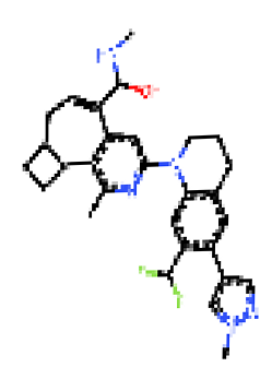 CNC(O)C1=CCC2CCC2c2c1cc(N1CCCc3cc(-c4cnn(C)c4)c(C(F)F)cc31)nc2C